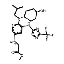 COC(=O)C[C@@H](C)c1cnc(N(CC(C)C)[C@H]2CC[C@H](O)CC2)c(Nc2nc(C(F)(F)F)ns2)c1